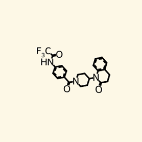 O=C(c1ccc(NC(=O)C(F)(F)F)cc1)N1CCC(N2C(=O)CCc3ccccc32)CC1